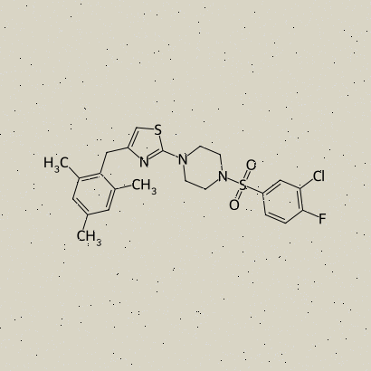 Cc1cc(C)c(Cc2csc(N3CCN(S(=O)(=O)c4ccc(F)c(Cl)c4)CC3)n2)c(C)c1